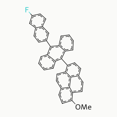 COc1ccc2ccc3c(-c4c5ccccc5c(-c5ccc6cc(F)ccc6c5)c5ccccc45)ccc4ccc1c2c43